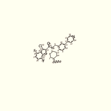 CN[C@H]1CC[C@H](N(Cc2cccc(-c3ccncc3)c2)C(=O)c2sc3c(F)ccc(F)c3c2Cl)CC1